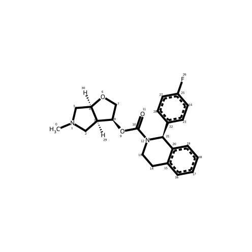 CN1C[C@H]2[C@@H](C1)OC[C@H]2OC(=O)N1CCc2ccccc2[C@@H]1c1ccc(F)cc1